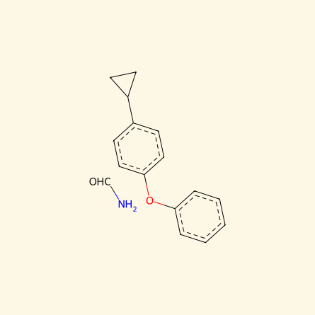 NC=O.c1ccc(Oc2ccc(C3CC3)cc2)cc1